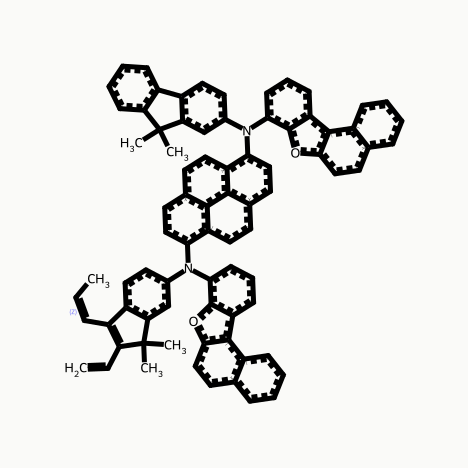 C=CC1=C(/C=C\C)c2ccc(N(c3ccc4ccc5c(N(c6ccc7c(c6)C(C)(C)c6ccccc6-7)c6cccc7c6oc6ccc8ccccc8c67)ccc6ccc3c4c65)c3cccc4c3oc3ccc5ccccc5c34)cc2C1(C)C